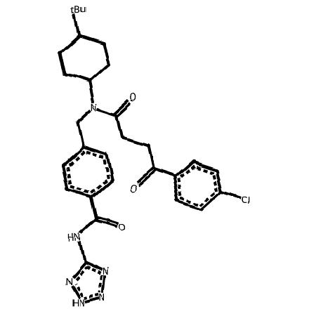 CC(C)(C)C1CCC(N(Cc2ccc(C(=O)Nc3nn[nH]n3)cc2)C(=O)CCC(=O)c2ccc(Cl)cc2)CC1